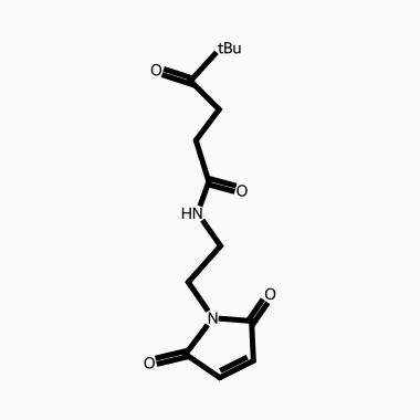 CC(C)(C)C(=O)CCC(=O)NCCN1C(=O)C=CC1=O